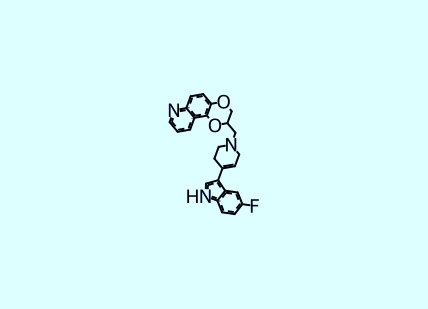 Fc1ccc2[nH]cc(C3=CCN(CC4COc5ccc6ncccc6c5O4)CC3)c2c1